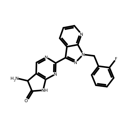 NC1C(=O)Nc2nc(-c3nn(Cc4ccccc4F)c4ncccc34)ncc21